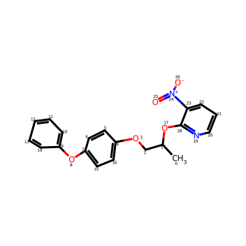 CC(COc1ccc(Oc2ccccc2)cc1)Oc1ncccc1[N+](=O)[O-]